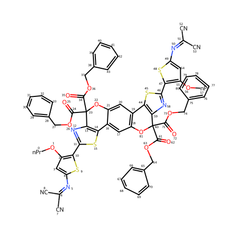 CCCOc1cc(N=C(C#N)C#N)sc1-c1nc2c(s1)-c1cc3c(cc1OC2(C(=O)OCc1ccccc1)C(=O)OCc1ccccc1)-c1sc(-c2sc(N=C(C#N)C#N)cc2OCCC)nc1C(C(=O)OCc1ccccc1)(C(=O)OCc1ccccc1)O3